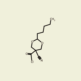 CCCCCC1OCC(C#N)(C(=O)Cl)CO1